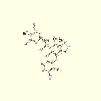 C[C@]12CCCN1N(Cc1cccc(Cl)c1F)C(=O)C(C(=O)Nc1cc(F)c(Br)c(F)c1)=C2O